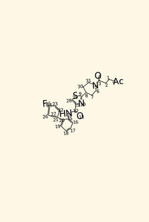 CC(=O)CCC(=O)N1CCC(c2nc(C(=O)Nc3ccccc3-c3ccc(F)cc3)cs2)CC1